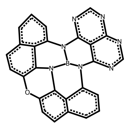 c1cc2c3c4c(ccc3c1)Oc1ccc3cccc5c3c1N4B1N2c2ncnc3ncnc(c23)N15